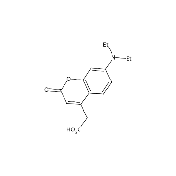 CCN(CC)c1ccc2c(CC(=O)O)cc(=O)oc2c1